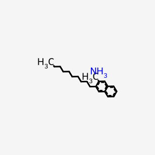 CCCCCCCCCCc1cc2ccccc2cc1C.N